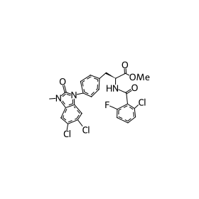 COC(=O)[C@H](Cc1ccc(-n2c(=O)n(C)c3cc(Cl)c(Cl)cc32)cc1)NC(=O)c1c(F)cccc1Cl